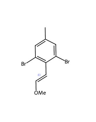 CO/C=C/c1c(Br)cc(C)cc1Br